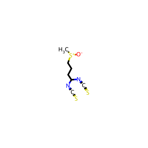 C[S+]([O-])CCCC(N=C=S)N=C=S